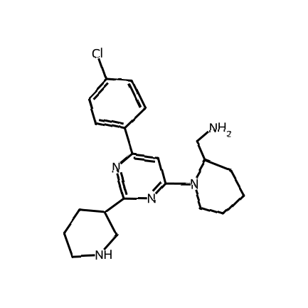 NCC1CCCCN1c1cc(-c2ccc(Cl)cc2)nc(C2CCCNC2)n1